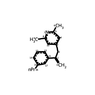 C=C(Cc1cc(C)nc(C)c1)c1cccc(CCC)c1